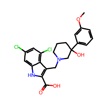 COc1cccc(C2(O)CCCN(Cc3c(C(=O)O)[nH]c4cc(Cl)cc(Cl)c34)C2)c1